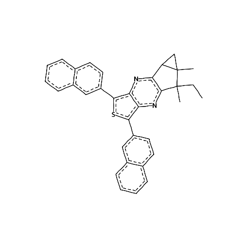 CCC1(C)c2nc3c(-c4ccc5ccccc5c4)sc(-c4ccc5ccccc5c4)c3nc2C2CC21C